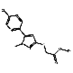 CC(C)OC(=O)COc1cc(-c2ccc(Cl)cn2)n(C)n1